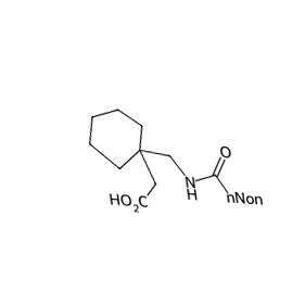 CCCCCCCCCC(=O)NCC1(CC(=O)O)CCCCC1